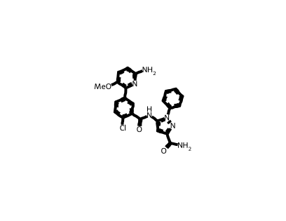 COc1ccc(N)nc1-c1ccc(Cl)c(C(=O)Nc2cc(C(N)=O)nn2-c2ccccc2)c1